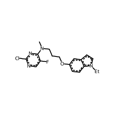 CCn1ccc2cc(OCCCN(C)c3nc(Cl)ncc3F)ccc21